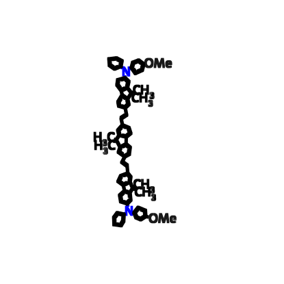 COc1ccc(N(c2ccccc2)c2ccc3c(c2)C(C)(C)c2cc(/C=C/c4ccc5c(c4)C(C)(C)c4cc(/C=C/c6ccc7c(c6)C(C)(C)c6cc(N(c8ccccc8)c8ccc(OC)cc8)ccc6-7)ccc4-5)ccc2-3)cc1